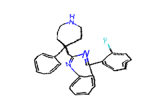 Fc1ccccc1-c1nc(C2(c3ccccc3)CCNCC2)nc2ccccc12